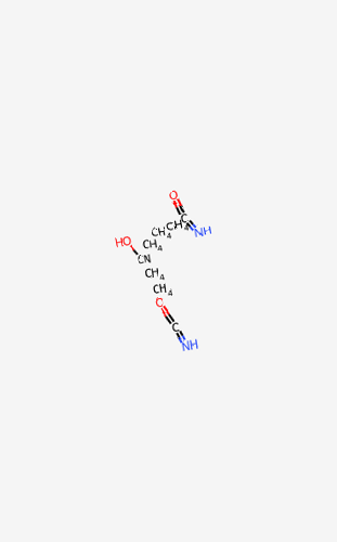 C.C.C.C.C.N#CO.N=C=O.N=C=O